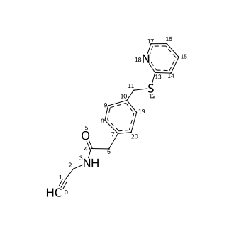 C#CCNC(=O)Cc1ccc(CSc2ccccn2)cc1